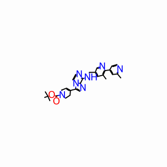 Cc1cc(-c2ncc(CNc3nccn4c(C5=CCN(C(=O)OC(C)(C)C)CC5)cnc34)cc2C)ccn1